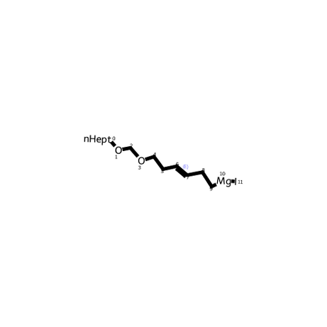 CCCCCCCOCOCC/C=C/C[CH2][Mg][I]